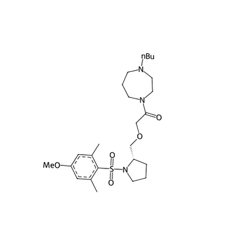 CCCCN1CCCN(C(=O)COC[C@@H]2CCCN2S(=O)(=O)c2c(C)cc(OC)cc2C)CC1